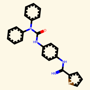 N=C(Nc1ccc(NC(=O)N(c2ccccc2)c2ccccc2)cc1)c1cccs1